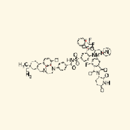 CC1(C)CCC(c2ccc(Cl)cc2)=C(CN2CCN(c3ccc(C(=O)NS(=O)(=O)c4ccc(N[C@H](CCN5C6CC5CN(Cc5cc(F)c7c(c5)C(=O)N(C5CCC(=O)NC5=O)C7=O)C6)CSc5ccccc5)c(S(=O)(=O)C(F)(F)F)c4)cc3)CC2)C1